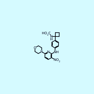 O=C(O)NC1(c2ccc(Nc3nc(N4CCOCC4)ccc3[N+](=O)[O-])cc2)CCC1